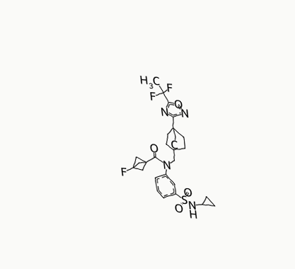 CC(F)(F)c1nc(C23CCC(CN(C(=O)C45CC(F)(C4)C5)c4cccc(S(=O)(=O)NC5CC5)c4)(CC2)CC3)no1